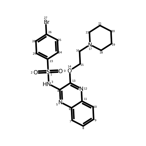 O=S(=O)(Nc1nc2ccccc2nc1OCCN1CCCCC1)c1ccc(Br)cc1